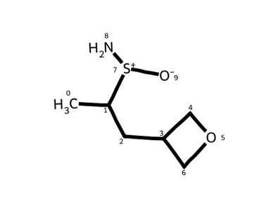 CC(CC1COC1)[S+](N)[O-]